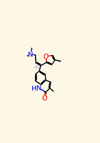 Cc1coc(/C(=C\CN(C)C)c2ccc3[nH]c(=O)c(C)cc3c2)c1